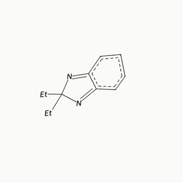 CCC1(CC)N=c2ccccc2=N1